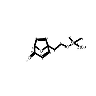 CC(C)(C)[Si](C)(C)OCCC12C=CC(=O)C(C=C1)O2